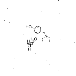 CCN(CC)Cc1ccc(O)cc1.Cl.Cl.O.O